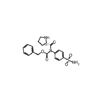 NS(=O)(=O)c1ccc(N(C(=O)OCc2ccccc2)C(=O)[C@@H]2CCCN2)cc1